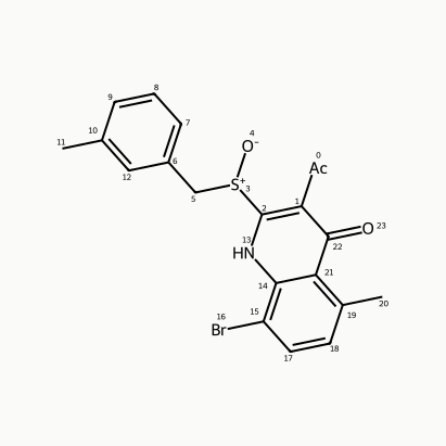 CC(=O)c1c([S+]([O-])Cc2cccc(C)c2)[nH]c2c(Br)ccc(C)c2c1=O